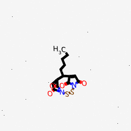 CCCCCC1C2=CC(=O)N(SSN3C(=O)C=C1C3=O)C2=O